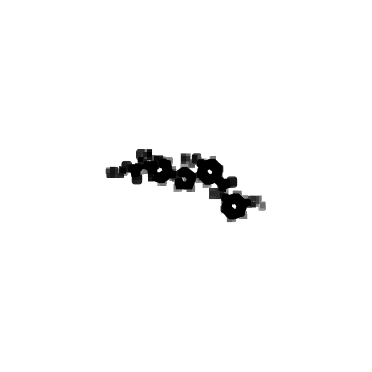 Cc1ccc(C(=O)Nc2cccc(C(F)(F)F)c2)cc1[C@@H]1CCN(c2cnc(N(C)C(=O)OC(C)(C)C)nc2)C1